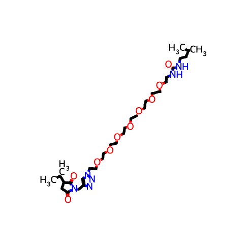 CC(C)CCNC(=O)NCCOCCOCCOCCOCCOCCOCCOCCn1cc(CN2C(=O)CC(C(C)C)C2=O)nn1